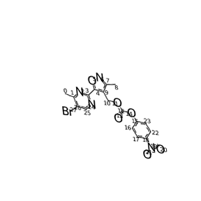 Cc1nc(-c2onc(C)c2COC(=O)Oc2ccc([N+](=O)[O-])cc2)ncc1Br